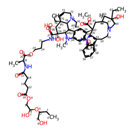 CCC(CO)OC(O)COC(=O)CCCC(=O)NC(C)C(=O)OCCCNC(=O)[C@]1(O)C2N(C)c3cc(OC)c([C@@]4(C(=O)OC)C[C@@H]5C[N@](CCc6c4[nH]c4ccccc64)CC(O)(CC)C5)cc3[C@@]23CCN2CC=C[C@](CC)(C23)[C@H]1O